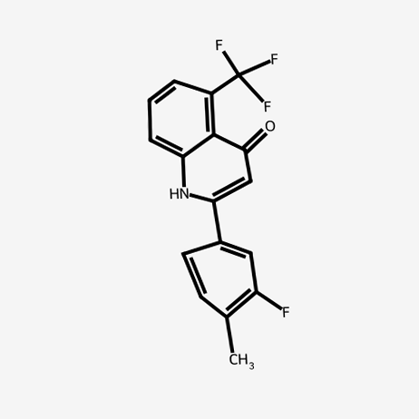 Cc1ccc(-c2cc(=O)c3c(C(F)(F)F)cccc3[nH]2)cc1F